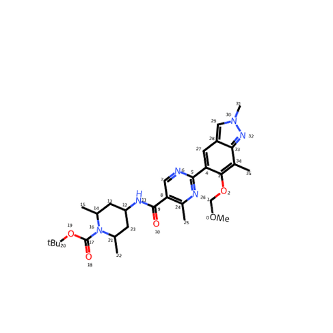 COCOc1c(-c2ncc(C(=O)NC3CC(C)N(C(=O)OC(C)(C)C)C(C)C3)c(C)n2)cc2cn(C)nc2c1C